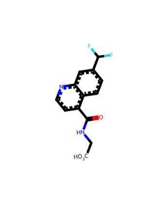 O=C(O)CNC(=O)c1ccnc2cc(C(F)F)ccc12